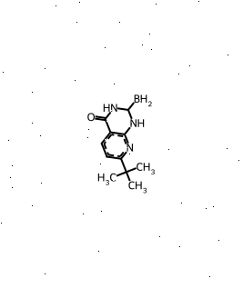 BC1NC(=O)c2ccc(C(C)(C)C)nc2N1